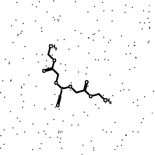 CCOC(=O)COP(B=O)OCC(=O)OCC